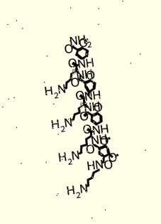 COc1ccc(NC(=O)[C@H](CCCCN)NC(=O)c2cc(NC(=O)[C@H](CCCCN)NC(=O)c3cc(NC(=O)C(CCCCN)NC(=O)c4cc(C(=O)NCCCCCN)c(OC)cc4OC)ccc3OC)ccc2OC)cc1C(N)=O